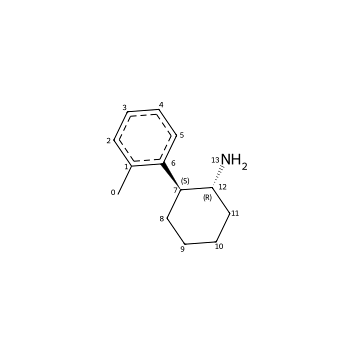 Cc1ccccc1[C@@H]1CCCC[C@H]1N